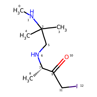 CNC(C)(C)CN[C@@H](C)C(=O)CI